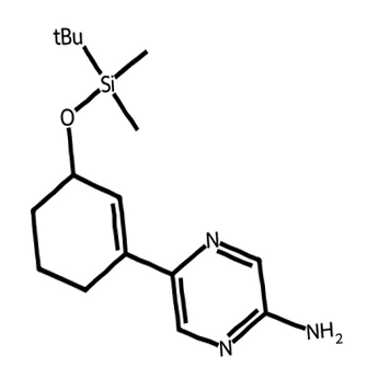 CC(C)(C)[Si](C)(C)OC1C=C(c2cnc(N)cn2)CCC1